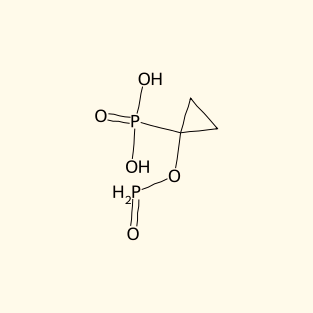 O=[PH2]OC1(P(=O)(O)O)CC1